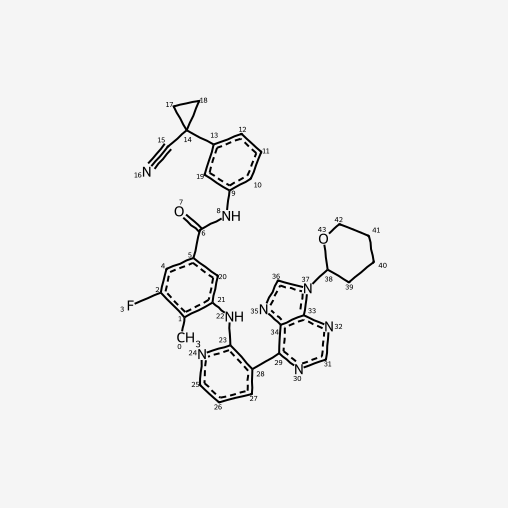 Cc1c(F)cc(C(=O)Nc2cccc(C3(C#N)CC3)c2)cc1Nc1ncccc1-c1ncnc2c1ncn2C1CCCCO1